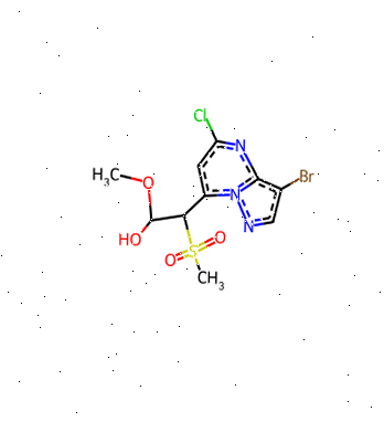 COC(O)C(c1cc(Cl)nc2c(Br)cnn12)S(C)(=O)=O